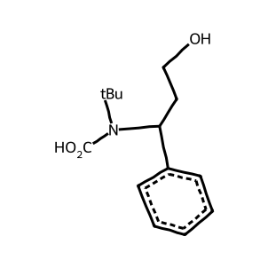 CC(C)(C)N(C(=O)O)C(CCO)c1ccccc1